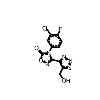 O=c1onc(-c2nnsc2CO)n1-c1ccc(F)c(Cl)c1